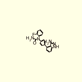 NC(=O)N(c1ccc(-c2cccc3[nH]nc(N)c23)cc1)c1ccccc1F